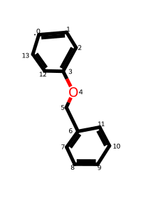 [c]1ccc(OCc2ccccc2)cc1